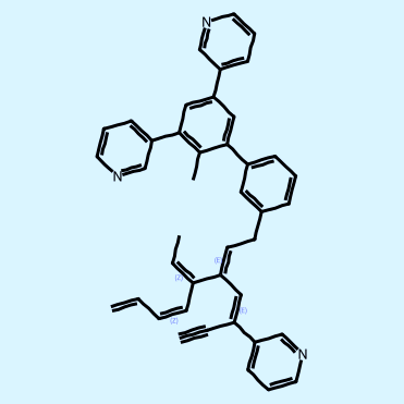 C#C\C(=C/C(=C\Cc1cccc(-c2cc(-c3cccnc3)cc(-c3cccnc3)c2C)c1)C(/C=C\C=C)=C\C)c1cccnc1